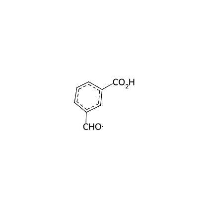 O=[C]c1cccc(C(=O)O)c1